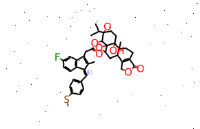 CSc1ccc(/C=C2/C(C)=C(CC(=O)OC3C4(C(C)C)OC4CC4(O)C5(C)CCC6=C(COC6=O)C5CC5OC534)c3cc(F)ccc32)cc1